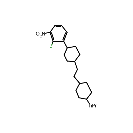 CCCC1CCC(CCC2CCC(c3cccc([N+](=O)[O-])c3F)CC2)CC1